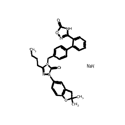 CCCCc1nn(-c2ccc3c(c2)CC(C)(C)O3)c(=O)n1Cc1ccc(-c2ccccc2-c2noc(=O)[nH]2)cc1.[NaH]